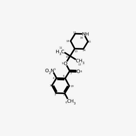 Cc1ccc([N+](=O)[O-])c(C(=O)OC(C)(C)C2CCNCC2)c1